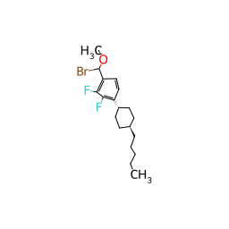 CCCCC[C@H]1CC[C@H](c2ccc(C(Br)OC)c(F)c2F)CC1